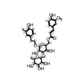 COc1cc(/C=C/C(=O)OCC2O[C@@H](OCCc3ccc(O)c(C)c3)C(O)[C@@H](OC3OC(C)C(O)C(O)C3O)[C@@H]2O)ccc1O